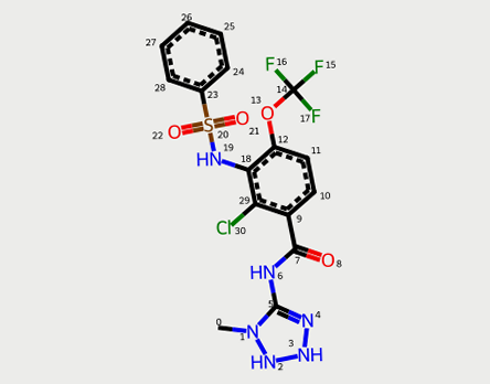 CN1NNN=C1NC(=O)c1ccc(OC(F)(F)F)c(NS(=O)(=O)c2ccccc2)c1Cl